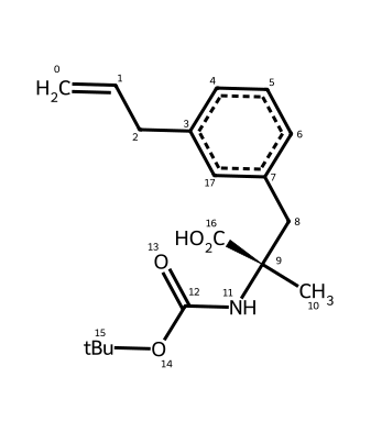 C=CCc1cccc(C[C@](C)(NC(=O)OC(C)(C)C)C(=O)O)c1